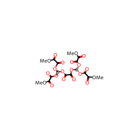 COC(=O)C(=O)OB(OC(=O)C(=O)OC)OC(=O)C(=O)OB(OC(=O)C(=O)OC)OC(=O)C(=O)OC